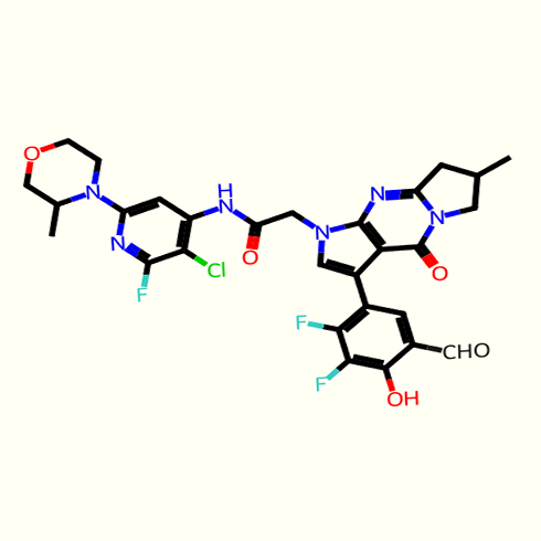 CC1Cc2nc3c(c(-c4cc(C=O)c(O)c(F)c4F)cn3CC(=O)Nc3cc(N4CCOCC4C)nc(F)c3Cl)c(=O)n2C1